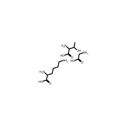 CC(O)C(N)C(=O)O.NCC(=O)O.NCCCCC(N)C(=O)O